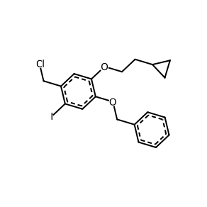 ClCc1cc(OCCC2CC2)c(OCc2ccccc2)cc1I